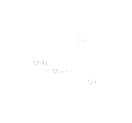 CNCC(C)(CN)OC